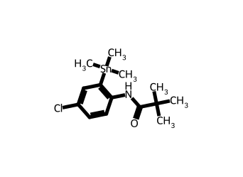 CC(C)(C)C(=O)Nc1ccc(Cl)c[c]1[Sn]([CH3])([CH3])[CH3]